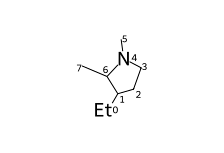 CCC1CCN(C)C1C